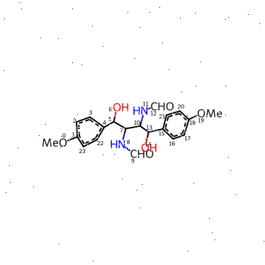 COc1ccc(C(O)C(NC=O)C(NC=O)C(O)c2ccc(OC)cc2)cc1